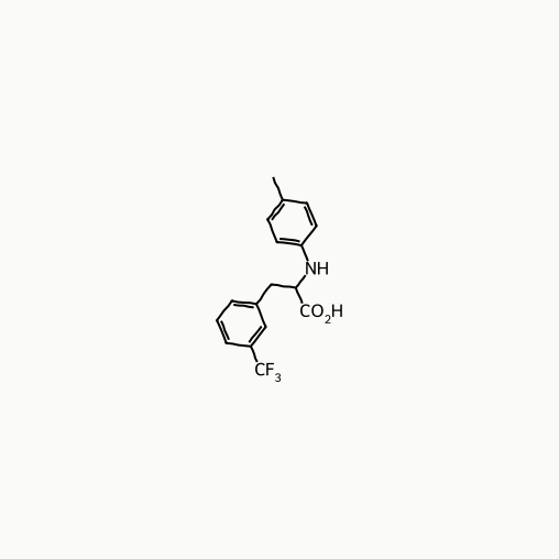 Cc1ccc(NC(Cc2cccc(C(F)(F)F)c2)C(=O)O)cc1